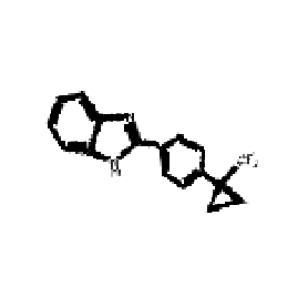 FC(F)(F)C1(c2ccc(-c3nc4ccccc4[nH]3)cc2)CC1